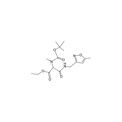 CCOC(=O)C(C(=O)NCc1cc(C)on1)N(C)C(=O)OC(C)(C)C